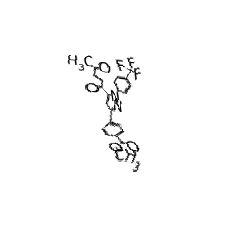 COC(=O)c1ccc(-c2cc(C(=O)C=CC(C)=O)n(-c3ccc(C(F)(F)F)cc3)n2)cc1